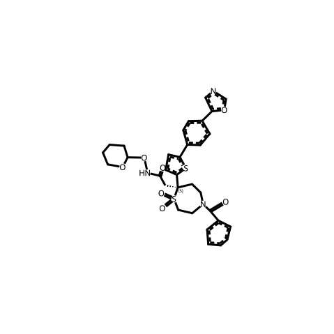 O=C(C[C@]1(c2ccc(-c3ccc(-c4cnco4)cc3)s2)CCN(C(=O)c2ccccc2)CCS1(=O)=O)NOC1CCCCO1